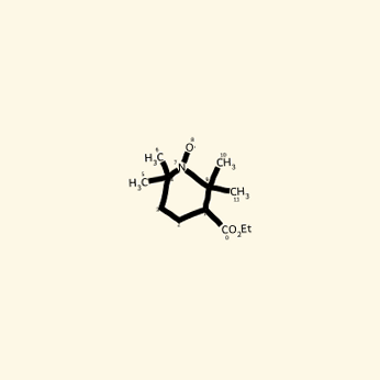 CCOC(=O)C1CCC(C)(C)N([O])C1(C)C